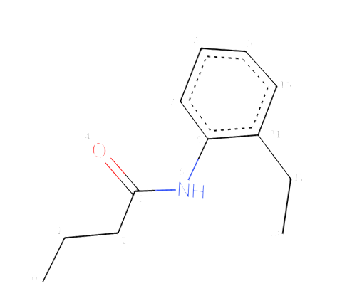 CCCC(=O)Nc1ccccc1CC